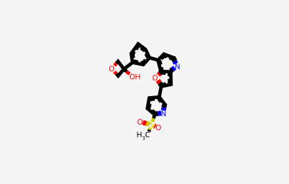 CS(=O)(=O)c1ccc(-c2cc3nccc(-c4cccc(C5(O)COC5)c4)c3o2)cn1